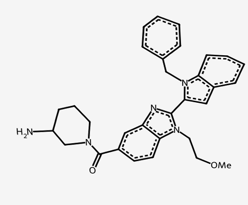 COCCn1c(-c2cc3ccccc3n2Cc2ccccc2)nc2cc(C(=O)N3CCCC(N)C3)ccc21